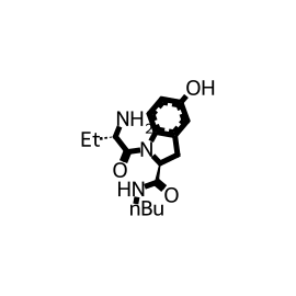 CCCCNC(=O)[C@@H]1Cc2cc(O)ccc2N1C(=O)[C@@H](N)CC